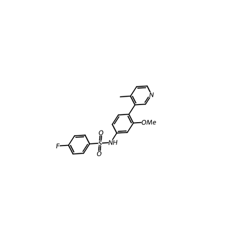 COc1cc(NS(=O)(=O)c2ccc(F)cc2)ccc1-c1cnccc1C